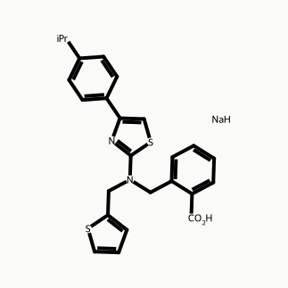 CC(C)c1ccc(-c2csc(N(Cc3cccs3)Cc3ccccc3C(=O)O)n2)cc1.[NaH]